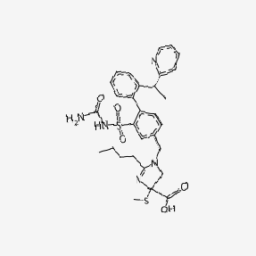 CCCCC1=NC(SC)(C(=O)O)CN1Cc1ccc(-c2ccccc2C(C)c2ccccn2)c(S(=O)(=O)NC(N)=O)c1